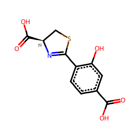 O=C(O)c1ccc(C2=N[C@@H](C(=O)O)CS2)c(O)c1